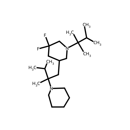 CC(C)C(C)(C)N1CC(CC(C)(C(C)C)N2CCCCC2)CC(F)(F)C1